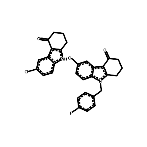 O=C1CCCc2[nH]c3ccc(Cl)cc3c21.O=C1CCCc2c1c1cc(Cl)ccc1n2Cc1ccc(F)cc1